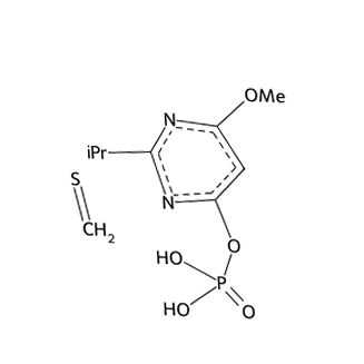 C=S.COc1cc(OP(=O)(O)O)nc(C(C)C)n1